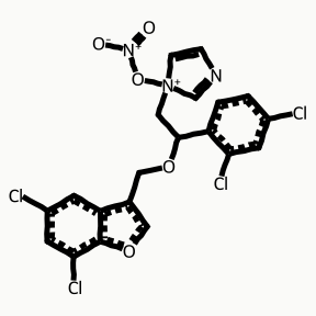 O=[N+]([O-])O[N+]1(CC(OCc2coc3c(Cl)cc(Cl)cc23)c2ccc(Cl)cc2Cl)C=CN=C1